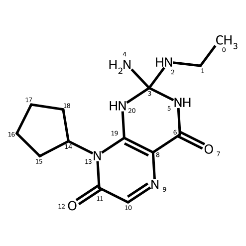 CCNC1(N)NC(=O)c2ncc(=O)n(C3CCCC3)c2N1